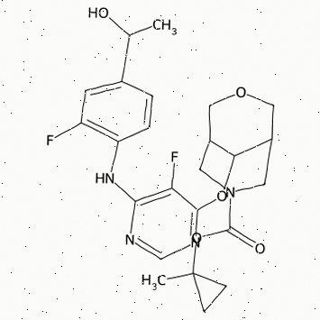 CC(O)c1ccc(Nc2ncnc(OC3C4COCC3CN(C(=O)OC3(C)CC3)C4)c2F)c(F)c1